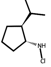 CC(C)[C@@H]1CCC[C@H]1NCl